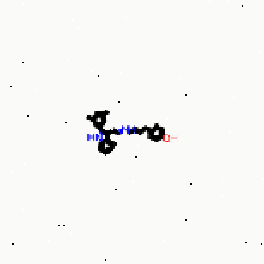 Cc1cc(C)cc(-c2[nH]c3ccccc3c2CCNCCCCc2ccc(O)cc2)c1